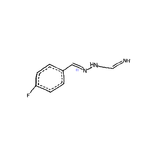 N=CN/N=C/c1ccc(F)cc1